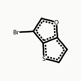 Brc1coc2ccsc12